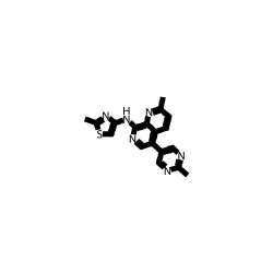 Cc1ccc2c(-c3cnc(C)nc3)cnc(Nc3csc(C)n3)c2n1